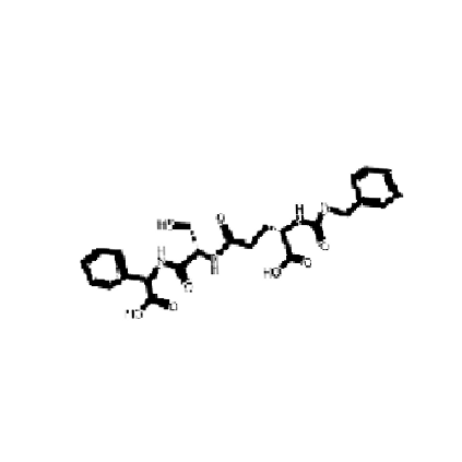 O=C(CC[C@H](NC(=O)OCc1ccccc1)C(=O)O)N[C@@H](CS)C(=O)NC(C(=O)O)c1ccccc1